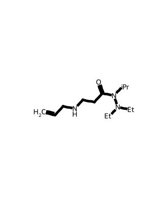 C=CCNCCC(=O)N(C(C)C)N(CC)CC